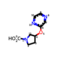 O=C(O)N1CCC(Oc2cnccn2)C1